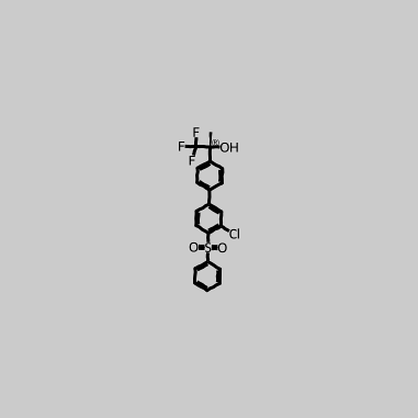 C[C@@](O)(c1ccc(-c2ccc(S(=O)(=O)c3ccccc3)c(Cl)c2)cc1)C(F)(F)F